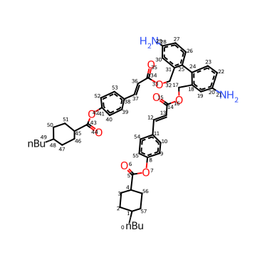 CCCCC1CCC(C(=O)Oc2ccc(/C=C/C(=O)OCc3cc(N)ccc3-c3ccc(N)cc3COC(=O)/C=C/c3ccc(OC(=O)C4CCC(CCCC)CC4)cc3)cc2)CC1